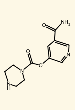 NC(=O)c1cncc(OC(=O)N2CCNCC2)c1